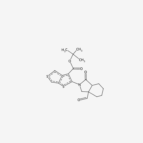 CC(C)(C)OC(=O)c1c(N2CC3(C=O)CCCCC3C2=O)sc2cscc12